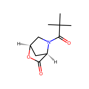 CC(C)(C)C(=O)N1C[C@H]2C[C@@H]1C(=O)O2